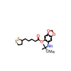 COC(C)(C)Nc1cc2c(cc1OC(=O)CCCCC1CCSS1)OCO2